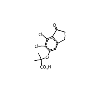 CC(C)(Oc1cc2c(c(Cl)c1Cl)C(=O)CC2)C(=O)O